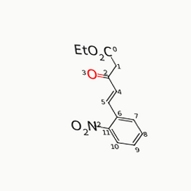 CCOC(=O)CC(=O)C=Cc1ccccc1[N+](=O)[O-]